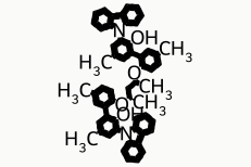 Cc1ccc(OC(C)C[C@H](C)Oc2ccc(C)cc2-c2cc(C)cc(-n3c4ccccc4c4ccccc43)c2O)c(-c2cc(C)cc(-n3c4ccccc4c4ccccc43)c2O)c1